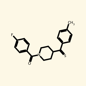 Cc1ccc(C(=S)C2CCN(C(=O)c3ccc(F)cc3)CC2)cc1